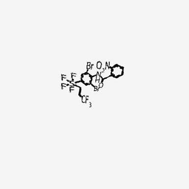 O=C(Nc1c(Br)cc(S(F)(F)(F)(F)CCC(F)(F)F)cc1Br)c1ccccc1[N+](=O)[O-]